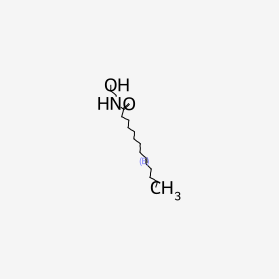 CCCC/C=C/CCCCCCCC(=O)NCCO